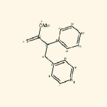 COC(=S)C(Cc1ccncc1)c1ccccc1